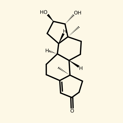 C[C@]12CC[C@H]3[C@@H](CCC4=CC(=O)CC[C@@]43C)[C@@H]1C[C@@H](O)[C@@H]2O